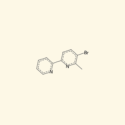 Cc1nc(-c2ccccn2)ccc1Br